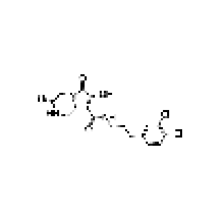 O=C1CN2C(=O)C(O)=C(C(=O)NCCCc3ccc(Cl)c(Cl)c3)C2CN1